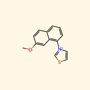 COc1ccc2cccc(-[n+]3ccsc3)c2c1